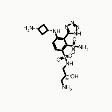 NC[C@@H](O)CNS(=O)(=O)c1ccc(N[C@H]2C[C@@H](N)C2)c(-c2nnn[nH]2)c1S(N)(=O)=O